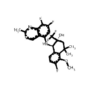 COc1c(F)ccc2c1C(C)(C)C[C@](O)(C(F)(F)F)[C@@H]2Nc1cc(F)c(F)c2nc(C)ncc12